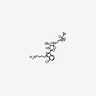 CC(C)(C)C(NC(=O)c1nn(CCCCN)c2c(Cl)cccc12)C(=O)NCCNS(=O)(=O)C1CC1